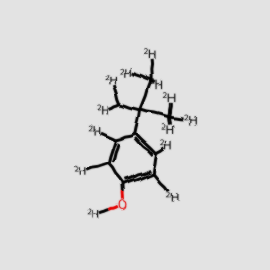 [2H]Oc1c([2H])c([2H])c(C(C([2H])[2H])(C([2H])([2H])[2H])C([2H])([2H])[2H])c([2H])c1[2H]